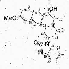 COc1ccc2cc(C(O)C(C)N3CCC(n4c(=O)[nH]c5ccccc54)CC3C)ccc2c1